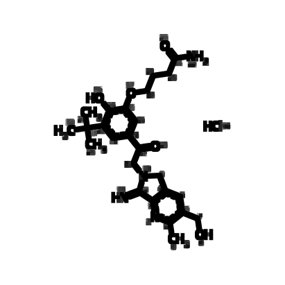 Cc1nc2c(cc1CO)CN(CC(=O)c1cc(OCCCC(N)=O)c(O)c(C(C)(C)C)c1)C2=N.Cl